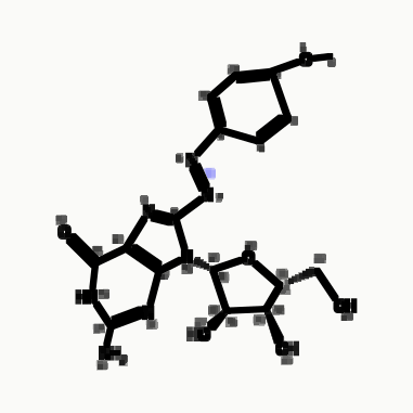 COc1ccc(/N=N/c2nc3c(=O)[nH]c(N)nc3n2[C@@H]2O[C@H](CO)[C@@H](O)[C@H]2O)cc1